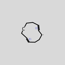 [CH]1/C=C/CCCC/C=C/CC1